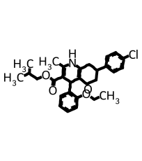 CCOc1ccccc1C1C(C(=O)OCC(C)C)=C(C)NC2=C1C(=O)CC(c1ccc(Cl)cc1)C2